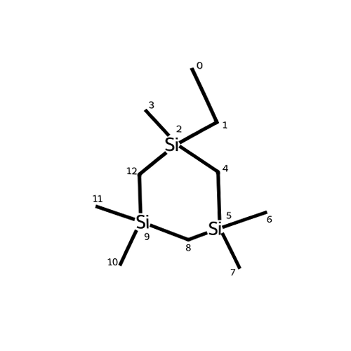 CC[Si]1(C)C[Si](C)(C)C[Si](C)(C)C1